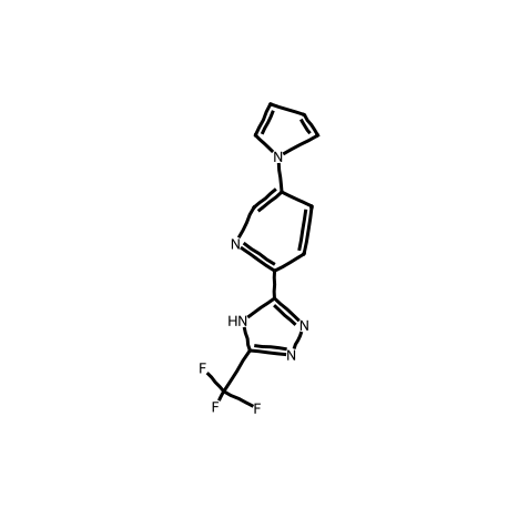 FC(F)(F)c1nnc(-c2ccc(-n3cccc3)cn2)[nH]1